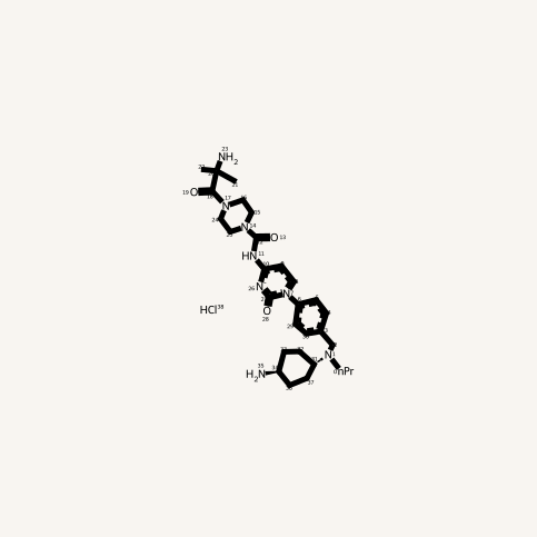 CCCN(Cc1ccc(-n2ccc(NC(=O)N3CCN(C(=O)C(C)(C)N)CC3)nc2=O)cc1)[C@H]1CC[C@H](N)CC1.Cl